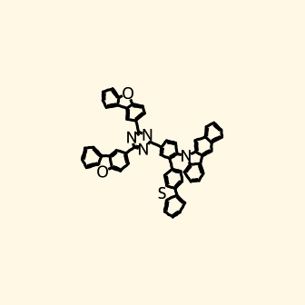 c1ccc2cc3c(cc2c1)c1ccccc1n3-c1ccc(-c2nc(-c3ccc4oc5ccccc5c4c3)nc(-c3ccc4oc5ccccc5c4c3)n2)cc1-c1ccc2c(c1)sc1ccccc12